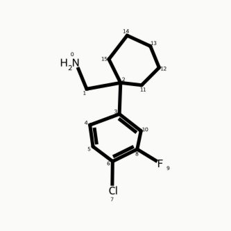 NCC1(c2ccc(Cl)c(F)c2)CCCCC1